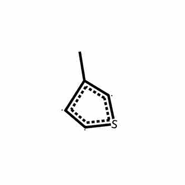 Cc1[c][c]s[c]1